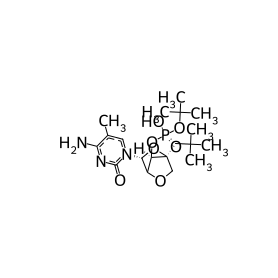 Cc1cn([C@@H]2O[C@@]3(CC(C)(C)C)COC2[C@H]3OP(=O)(O)OC(C)(C)C)c(=O)nc1N